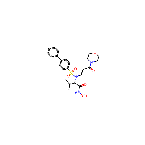 CC(C)C(C(=O)NO)N(CCC(=O)N1CCOCC1)S(=O)(=O)c1ccc(-c2ccccc2)cc1